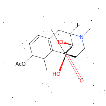 CC(=O)OC1C=CC2=C(C1C)[C@]13CCN(C)[C@H](C2)[C@]1(O)C=CC(=O)[C@@H]3O